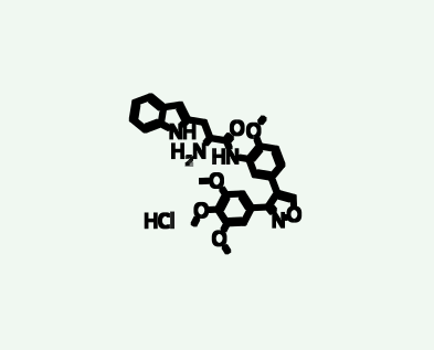 COc1ccc(-c2conc2-c2cc(OC)c(OC)c(OC)c2)cc1NC(=O)C(N)Cc1cc2ccccc2[nH]1.Cl